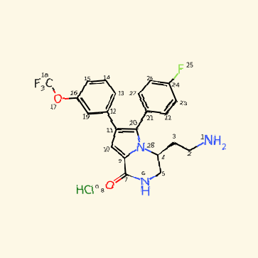 Cl.NCC[C@H]1CNC(=O)c2cc(-c3cccc(OC(F)(F)F)c3)c(-c3ccc(F)cc3)n21